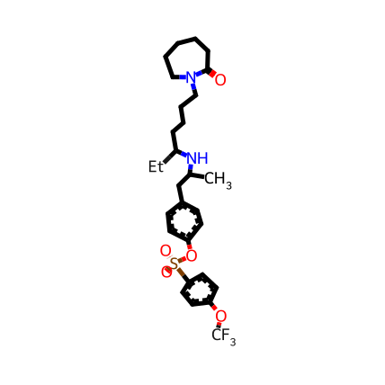 CCC(CCCCN1CCCCCC1=O)NC(C)Cc1ccc(OS(=O)(=O)c2ccc(OC(F)(F)F)cc2)cc1